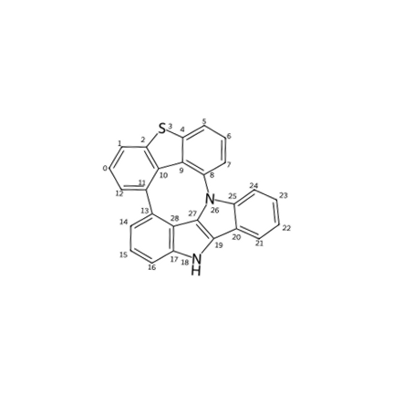 c1cc2sc3cccc4c3c2c(c1)c1cccc2[nH]c3c5ccccc5n4c3c21